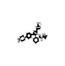 Cc1nc(-c2nc([C@@H]3CCCC[C@H]3C(=O)NC3(C#N)CC3)c(-c3ccc(N4CCS(=O)(=O)CC4)cc3)s2)cs1